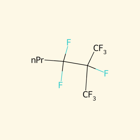 [CH2]CCC(F)(F)C(F)(C(F)(F)F)C(F)(F)F